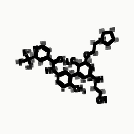 Cc1ccc(NC(=O)c2ccnc(C(F)(F)F)c2)cc1C1=CC(NCCO)=NC(OCCN2CCCC2)C1C